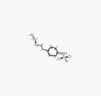 CS(=O)(=O)Nc1ccc(CCN=[N+]=[N-])cc1